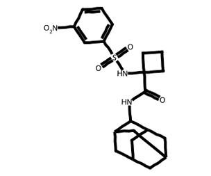 O=C(NC1C2CC3CC(C2)CC1C3)C1(NS(=O)(=O)c2cccc([N+](=O)[O-])c2)CCC1